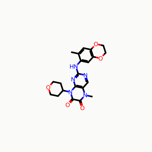 Cc1cc2c(cc1Nc1ncc3c(n1)n(C1CCOCC1)c(=O)c(=O)n3C)OCCO2